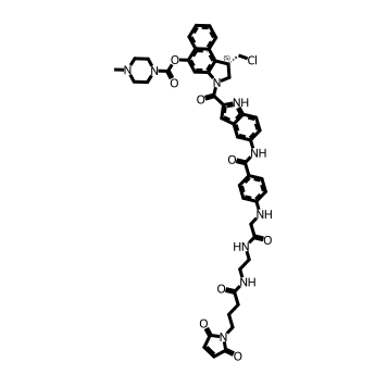 CN1CCN(C(=O)Oc2cc3c(c4ccccc24)[C@H](CCl)CN3C(=O)c2cc3cc(NC(=O)c4ccc(NCC(=O)NCCNC(=O)CCCN5C(=O)C=CC5=O)cc4)ccc3[nH]2)CC1